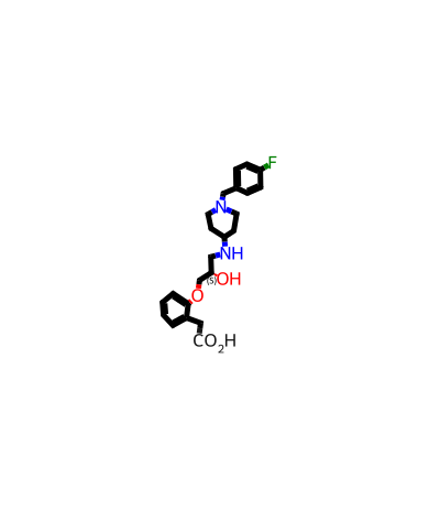 O=C(O)Cc1ccccc1OC[C@@H](O)CNC1CCN(Cc2ccc(F)cc2)CC1